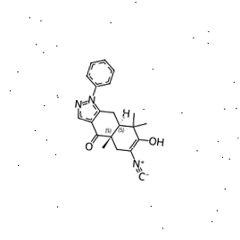 [C-]#[N+]C1=C(O)C(C)(C)[C@@H]2Cc3c(cnn3-c3ccccc3)C(=O)[C@@]2(C)C1